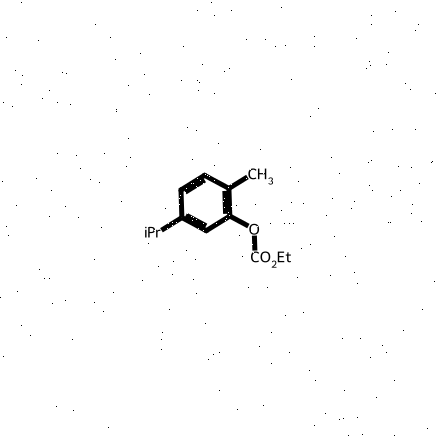 C[CH]OC(=O)Oc1cc(C(C)C)ccc1C